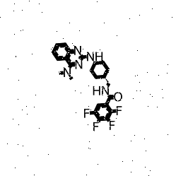 CN(C)c1nc(N[C@H]2CC[C@@H](CNC(=O)c3cc(F)c(F)c(F)c3F)CC2)nc2ccccc12